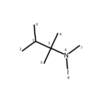 CC(C)C(C)(C)N(C)I